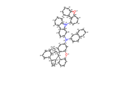 c1ccc2c(c1)Oc1cc(N(c3ccc4ccccc4c3)c3ccc4c5ccccc5n(-c5cccc6oc7ccccc7c56)c4c3)ccc1C21c2ccccc2-c2cccc3cccc1c23